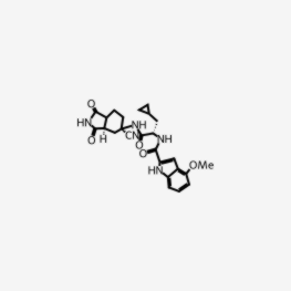 COc1cccc2[nH]c(C(=O)N[C@@H](CC3CC3)C(=O)N[C@@]3(C#N)CCC4C(=O)NC(=O)[C@@H]4C3)cc12